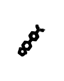 O=[N+]([O-])c1ccc(C2CCC3(CC2)OCCO3)cc1